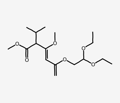 C=C(/C=C(\OC)C(C(=O)OC)C(C)C)OCC(OCC)OCC